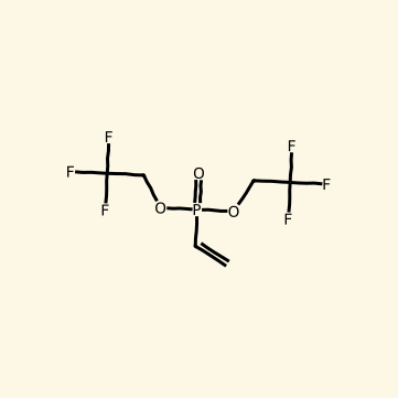 C=CP(=O)(OCC(F)(F)F)OCC(F)(F)F